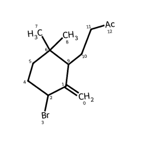 C=C1C(Br)CCC(C)(C)C1CCC(C)=O